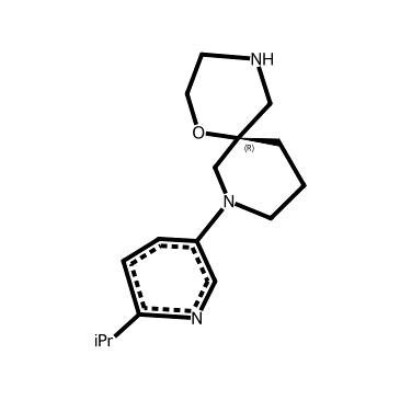 CC(C)c1ccc(N2CCC[C@@]3(CNCCO3)C2)cn1